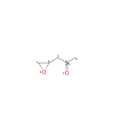 C[Si](=O)CC1CO1